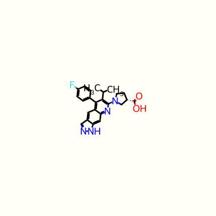 CC(C)c1c(N2CC[C@H](C(=O)O)C2)nc2cc3[nH]ncc3cc2c1-c1ccc(F)cc1